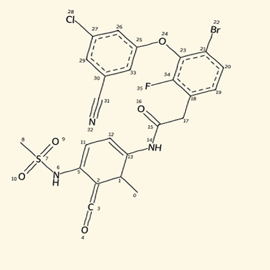 CC1C(=C=O)C(NS(C)(=O)=O)=CC=C1NC(=O)Cc1ccc(Br)c(Oc2cc(Cl)cc(C#N)c2)c1F